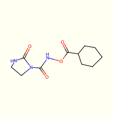 O=C(ONC(=O)N1CCNC1=O)C1CCCCC1